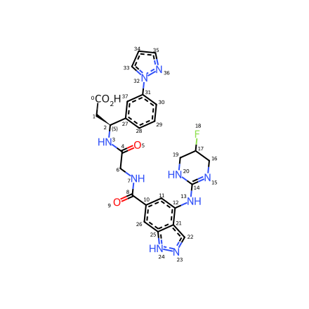 O=C(O)C[C@H](NC(=O)CNC(=O)c1cc(NC2=NCC(F)CN2)c2cn[nH]c2c1)c1cccc(-n2cccn2)c1